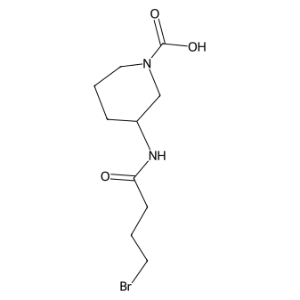 O=C(CCCBr)NC1CCCN(C(=O)O)C1